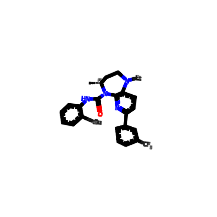 CCN1CC[C@@H](C)N(C(=O)Nc2ccccc2C(C)(C)C)c2nc(-c3cccc(C(F)(F)F)c3)ccc21